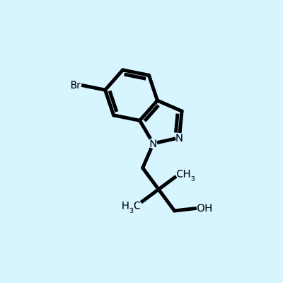 CC(C)(CO)Cn1ncc2ccc(Br)cc21